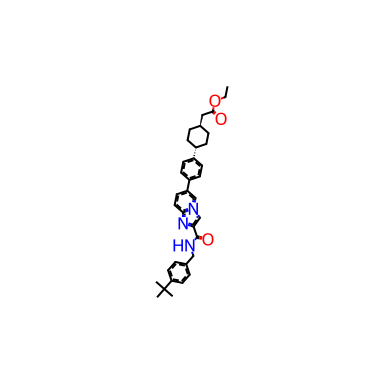 CCOC(=O)C[C@H]1CC[C@H](c2ccc(-c3ccc4nc(C(=O)NCc5ccc(C(C)(C)C)cc5)cn4c3)cc2)CC1